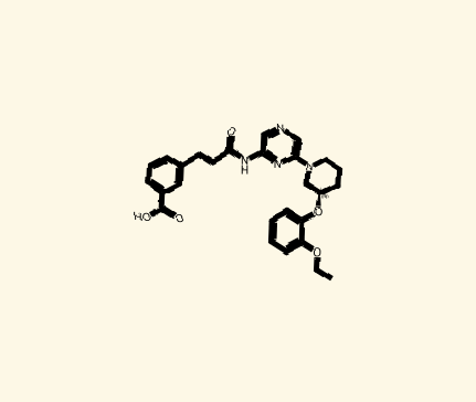 CCOc1ccccc1O[C@@H]1CCCN(c2cncc(NC(=O)CCc3cccc(C(=O)O)c3)n2)C1